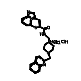 Cl.Cl.Cl.O=C(NCC1CCN(Cc2ccc3ccccc3n2)CC1)C1=Cc2cnc3cccc(n23)S1